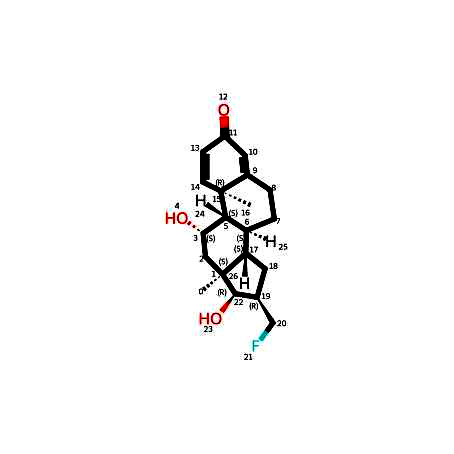 C[C@]12C[C@H](O)[C@H]3[C@@H](CCC4=CC(=O)C=C[C@@]43C)[C@@H]1C[C@@H](CF)[C@H]2O